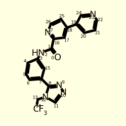 O=C(Nc1cccc(-c2nncn2CC(F)(F)F)c1)c1cc(-c2cccnc2)ccn1